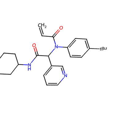 C=CC(=O)N(c1ccc(C(C)(C)C)cc1)C(C(=O)NC1CCCCC1)c1cccnc1